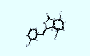 O=C1OC(=Cc2cccc(Br)c2)c2c(F)ccc(F)c21